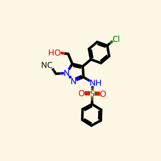 N#CCn1nc(NS(=O)(=O)c2ccccc2)c(-c2ccc(Cl)cc2)c1CO